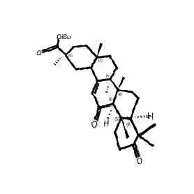 CC(C)COC(=O)[C@@]1(C)CC[C@]2(C)CC[C@]3(C)C(=CC(=O)[C@@H]4[C@@]5(C)CCC(=O)C(C)(C)[C@@H]5CC[C@]43C)C2C1